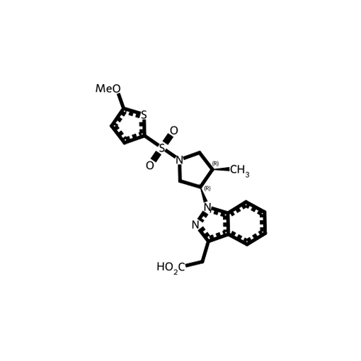 COc1ccc(S(=O)(=O)N2C[C@@H](C)[C@@H](n3nc(CC(=O)O)c4ccccc43)C2)s1